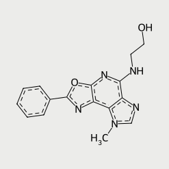 Cn1cnc2c(NCCO)nc3oc(-c4ccccc4)nc3c21